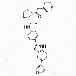 O=C(Nc1ccc(-c2cc3cc(-c4ccoc4)ccc3[nH]2)cc1)[C@@H]1CCCN1C(=O)Cc1ccccc1